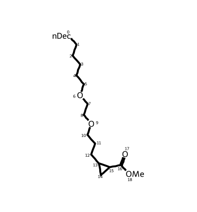 CCCCCCCCCCCCCCCOCCOCCCC1CC1C(=O)OC